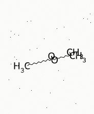 CCCCCCCCCCCC(=O)OCCCCCCC(C)C